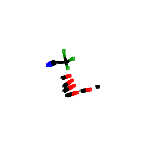 N#CC(Cl)(Cl)Cl.[C]=O.[C]=O.[C]=O.[C]=O.[C]=O.[W]